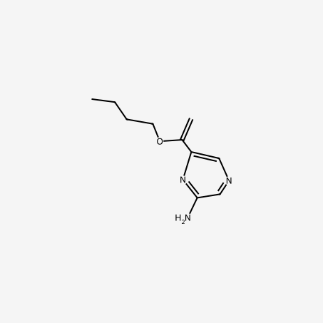 C=C(OCCCC)c1cncc(N)n1